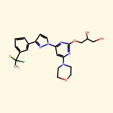 CC(F)(F)c1cccc(-c2ccn(-c3cc(N4CCOCC4)nc(OCC(O)CO)n3)n2)c1